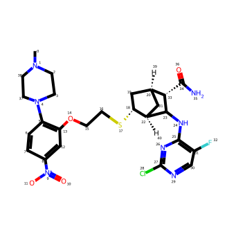 CN1CCN(c2ccc([N+](=O)[O-])cc2OCCS[C@@H]2C[C@@H]3C[C@H]2C(Nc2nc(Cl)ncc2F)[C@H]3C(N)=O)CC1